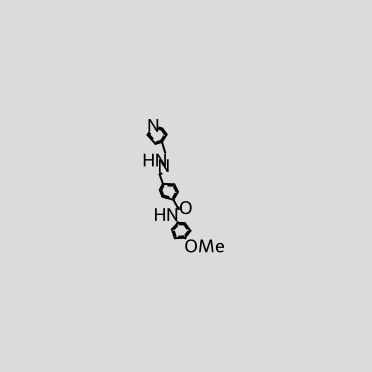 COc1ccc(NC(=O)c2ccc(/C=N/NCc3ccncc3)cc2)cc1